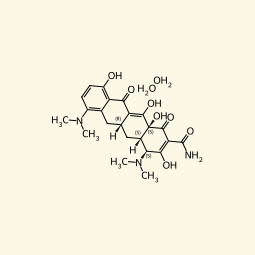 CN(C)c1ccc(O)c2c1C[C@H]1C[C@H]3[C@H](N(C)C)C(O)=C(C(N)=O)C(=O)[C@@]3(O)C(O)=C1C2=O.O.O